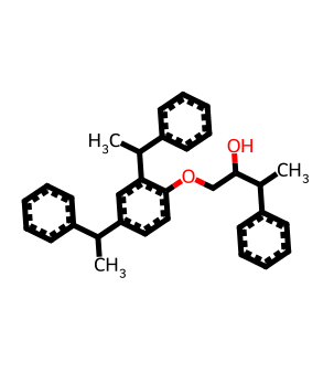 CC(c1ccccc1)c1ccc(OCC(O)C(C)c2ccccc2)c(C(C)c2ccccc2)c1